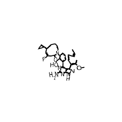 C\C=C/C=C\C(=C(/C)OC)c1n[nH]c2nc(N)nc(-c3cccc(N4/C=C\C/C=C(C5CC5)\C=C(\F)CC4=O)c3CO)c12